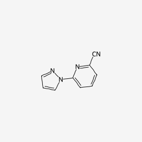 N#Cc1cccc(-n2cccn2)n1